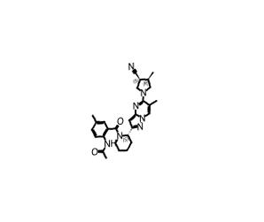 CC(=O)Nc1ccc(C)cc1C(=O)N1CCCC[C@H]1c1cc2nc(N3C[C@@H](C#N)[C@@H](C)C3)c(C)cn2n1